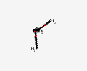 CCCCCCCCCCCCCCCCCCc1ccccc1C(C)(C)[N+](C)(C)CCCCCCCCCCCCCCCC